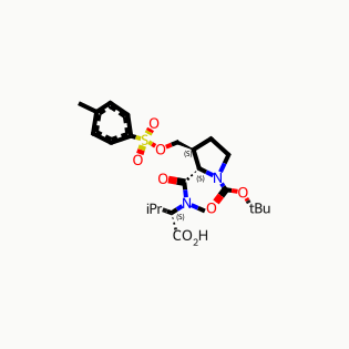 Cc1ccc(S(=O)(=O)OC[C@H]2CCN(C(=O)OC(C)(C)C)[C@@H]2C(=O)N(C)[C@H](C(=O)O)C(C)C)cc1